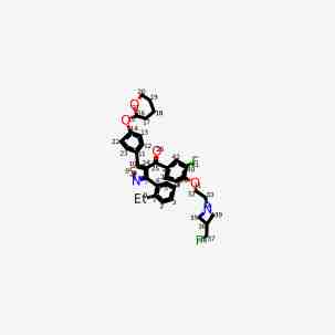 CCc1ccccc1-c1nsc(-c2ccc(OC3CCCCO3)cc2)c1C(=O)c1ccc(OCCN2CC(CF)C2)c(F)c1